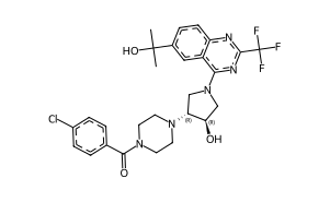 CC(C)(O)c1ccc2nc(C(F)(F)F)nc(N3C[C@@H](O)[C@H](N4CCN(C(=O)c5ccc(Cl)cc5)CC4)C3)c2c1